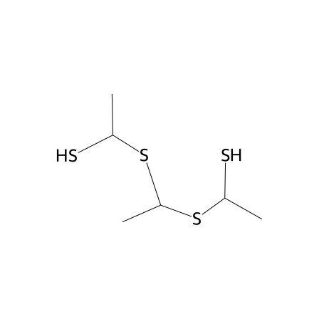 CC(S)SC(C)SC(C)S